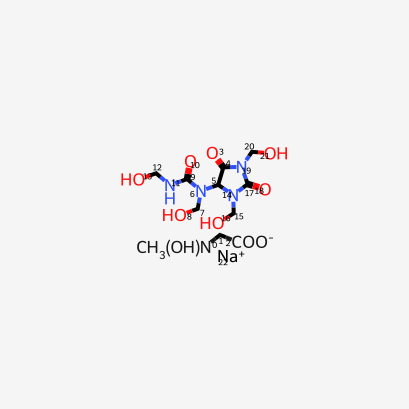 CN(O)CC(=O)[O-].O=C1C(N(CO)C(=O)NCO)N(CO)C(=O)N1CO.[Na+]